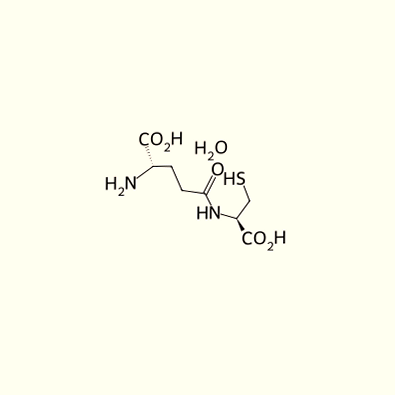 N[C@@H](CCC(=O)N[C@@H](CS)C(=O)O)C(=O)O.O